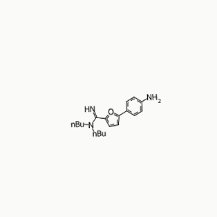 CCCCN(CCCC)C(=N)c1ccc(-c2ccc(N)cc2)o1